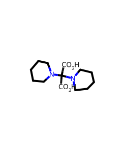 O=C(O)C(C(=O)O)(N1CCCCC1)N1CCCCC1